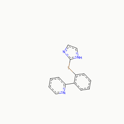 c1ccc(-c2ccccc2Sc2ncc[nH]2)nc1